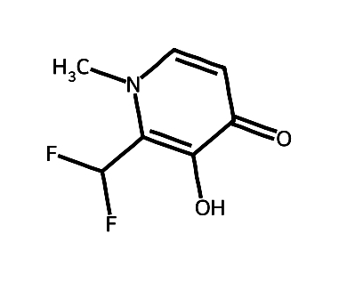 Cn1ccc(=O)c(O)c1C(F)F